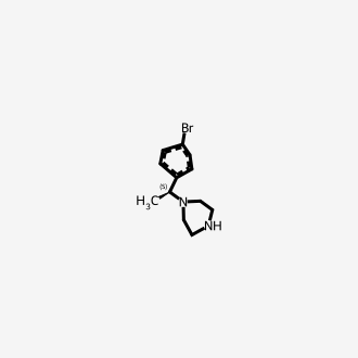 C[C@@H](c1ccc(Br)cc1)N1CCNCC1